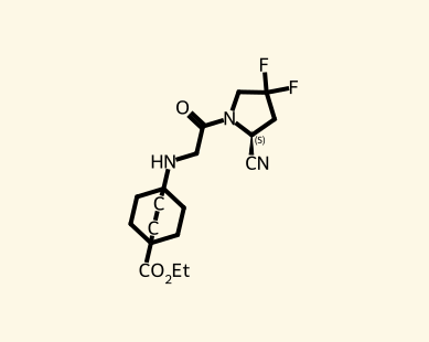 CCOC(=O)C12CCC(NCC(=O)N3CC(F)(F)C[C@H]3C#N)(CC1)CC2